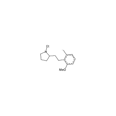 [CH2]c1cccc(OC)c1CCC1CCCN1CC